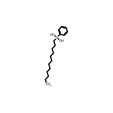 CCCCCCCCCCCC[Si](O)(O)c1ccccc1